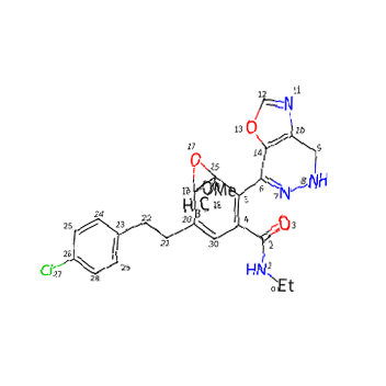 CCNC(=O)C1=C(C2=NNCc3ncoc32)C2(C)OC2(OC)C(CCc2ccc(Cl)cc2)=C1